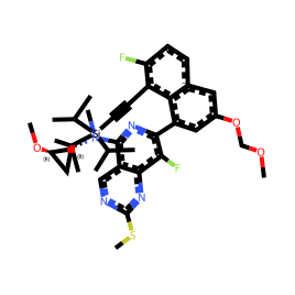 COCOc1cc(-c2nc(N(C)[C@@H]3C[C@H]3OC)c3cnc(SC)nc3c2F)c2c(C#C[Si](C(C)C)(C(C)C)C(C)C)c(F)ccc2c1